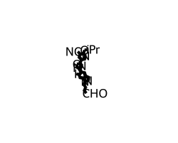 CC(C)Oc1ncc(-c2nc(-c3cc4cnn(CCCC=O)c4cc3I)no2)cc1C#N